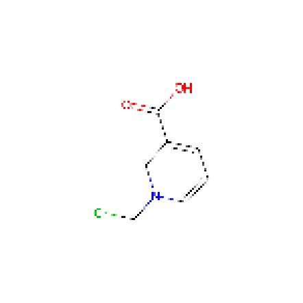 O=C(O)C1=CC=CN(CCl)C1